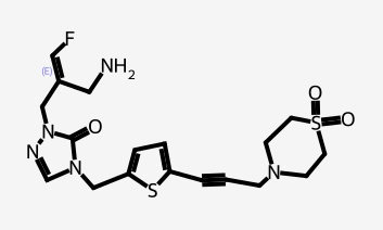 NC/C(=C\F)Cn1ncn(Cc2ccc(C#CCN3CCS(=O)(=O)CC3)s2)c1=O